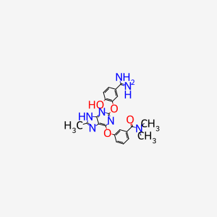 Cc1nc2c(Oc3cccc(C(=O)N(C)C)c3)nc(Oc3cc(C(=N)N)ccc3O)nc2[nH]1